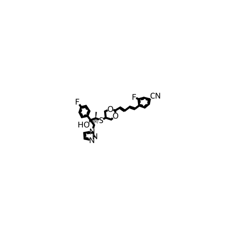 C[C@@H](SC1COC(C=CC=Cc2ccc(C#N)cc2F)OC1)[C@](O)(Cn1ccnn1)c1ccc(F)cc1